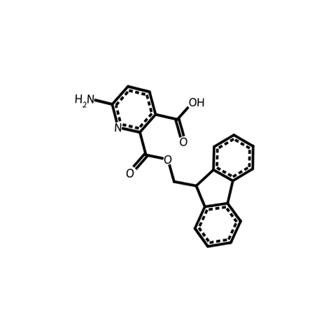 Nc1ccc(C(=O)O)c(C(=O)OCC2c3ccccc3-c3ccccc32)n1